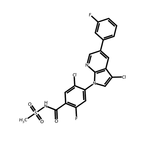 CS(=O)(=O)NC(=O)c1cc(Cl)c(-n2cc(Cl)c3cc(-c4cccc(F)c4)cnc32)cc1F